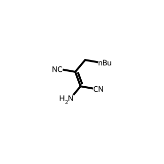 CCCCC/C(C#N)=C(/N)C#N